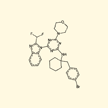 FC(F)c1nc2ccccc2n1-c1nc(NC2(Cc3ccc(Br)cc3)CCCCC2)nc(N2CCOCC2)n1